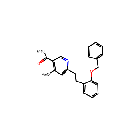 COC(=O)c1cnc(CCc2ccccc2OCc2ccccc2)cc1OC